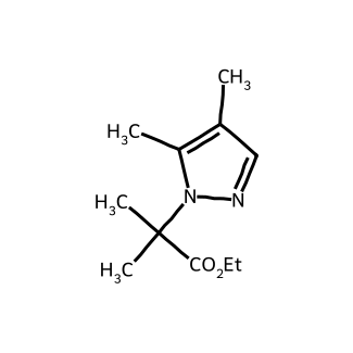 CCOC(=O)C(C)(C)n1ncc(C)c1C